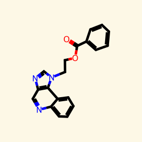 O=C(OCCn1cnc2cnc3ccccc3c21)c1ccccc1